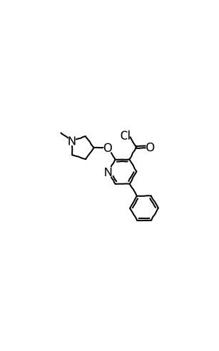 CN1CCC(Oc2ncc(-c3ccccc3)cc2C(=O)Cl)C1